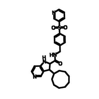 O=C(NCc1ccc(S(=O)(=O)c2cccnc2)cc1)C1Nc2ccncc2C1C1CCCCCCCC1